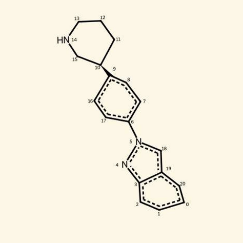 c1ccc2nn(-c3ccc([C@@H]4CCCNC4)cc3)cc2c1